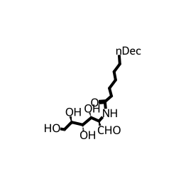 CCCCCCCCCCCCCCCC(=O)N[C@@H](C=O)[C@@H](O)[C@H](O)[C@H](O)CO